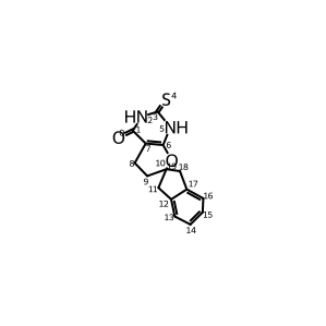 O=c1[nH]c(=S)[nH]c2c1CCC1(Cc3ccccc3C1)O2